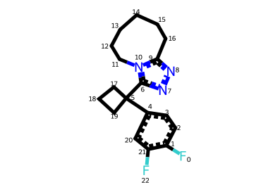 Fc1ccc(C2(c3nnc4n3CCCCCC4)CCC2)cc1F